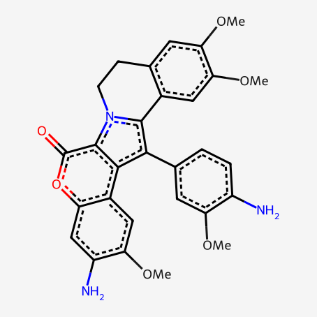 COc1cc(-c2c3n(c4c(=O)oc5cc(N)c(OC)cc5c24)CCc2cc(OC)c(OC)cc2-3)ccc1N